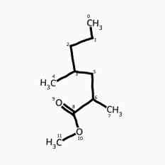 CCCC(C)CC(C)C(=O)OC